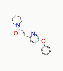 O=C(/C=C/c1ccc(Oc2ccccc2)cn1)N1CCCCC1